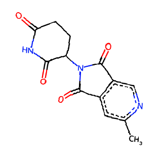 Cc1cc2c(cn1)C(=O)N(C1CCC(=O)NC1=O)C2=O